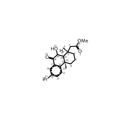 COC(=O)C[C@]1(C)CCC[C@]2(C)c3ccc(C(C)C)cc3C(=O)C(O)[C@@H]12